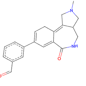 CN1CC2=C3CC=C(c4cccc(C=O)c4)C=C3C(=O)NCC2C1